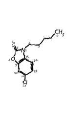 CCCCCn1c(=O)oc2cc(Cl)ccc21